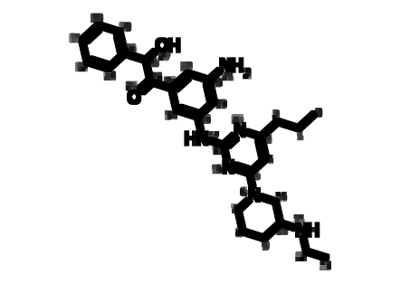 CCCc1cc(N2CCCC(NCC)C2)nc(Nc2cc(N)cc(C(=O)C(O)c3ccccc3)c2)n1